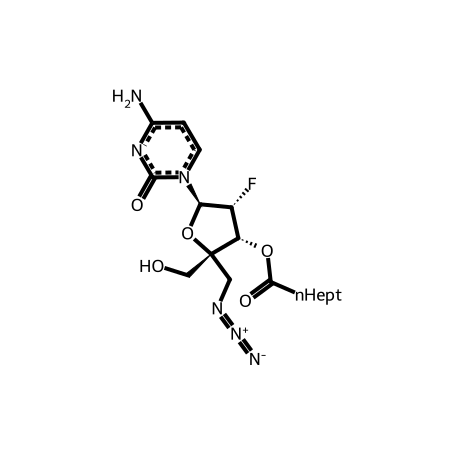 CCCCCCCC(=O)O[C@H]1[C@@H](F)[C@H](n2ccc(N)nc2=O)O[C@@]1(CO)CN=[N+]=[N-]